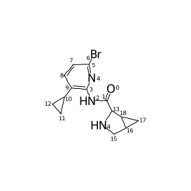 O=C(Nc1nc(Br)ccc1C1CC1)C1NCC2CC21